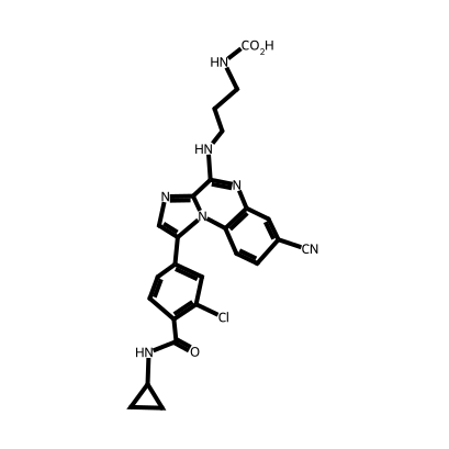 N#Cc1ccc2c(c1)nc(NCCCNC(=O)O)c1ncc(-c3ccc(C(=O)NC4CC4)c(Cl)c3)n12